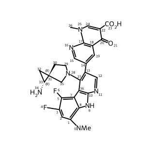 CNc1cc(F)c(F)c2c1[nH]c1ncc(-c3cnc4c(c3)c(=O)c(C(=O)O)cn4C)c(N3CC[C@@]4(C[C@H]4N)C3)c12